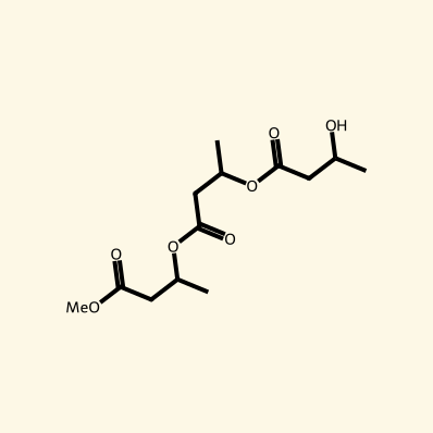 COC(=O)CC(C)OC(=O)CC(C)OC(=O)CC(C)O